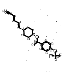 N#CC=CC=C[C@H]1CC[C@H](OC(=O)c2ccc(OC(F)(F)F)cc2)CC1